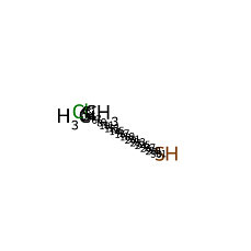 C[Si](C)(Cl)CCCCCCCCCCCCCCCCCCCCCCCCCCCS